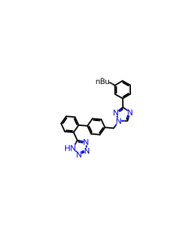 CCCCc1cccc(-c2ncn(Cc3ccc(-c4ccccc4-c4nnn[nH]4)cc3)n2)c1